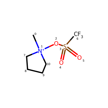 C[N+]1(OS(=O)(=O)C(F)(F)F)CCCC1